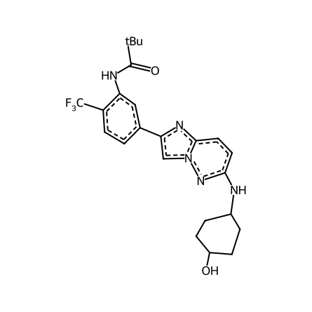 CC(C)(C)C(=O)Nc1cc(-c2cn3nc(NC4CCC(O)CC4)ccc3n2)ccc1C(F)(F)F